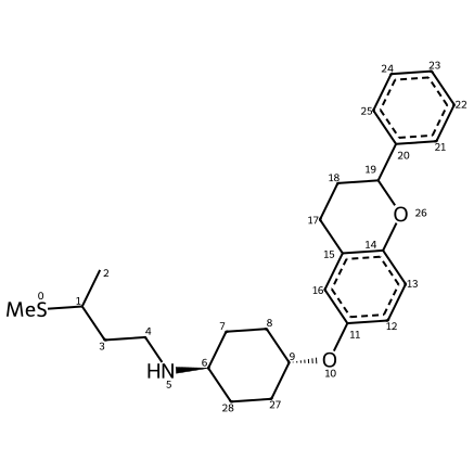 CSC(C)CCN[C@H]1CC[C@H](Oc2ccc3c(c2)CCC(c2ccccc2)O3)CC1